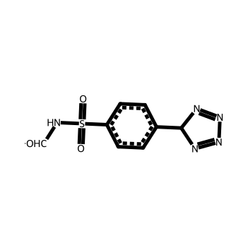 O=[C]NS(=O)(=O)c1ccc(C2N=NN=N2)cc1